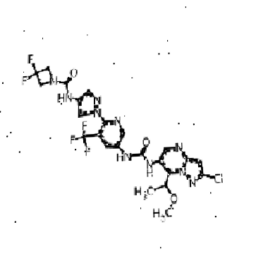 CO[C@@H](C)c1c(NC(=O)Nc2cnc(-n3cc(NC(=O)N4CC(F)(F)C4)cn3)c(C(F)(F)F)c2)cnc2cc(Cl)nn12